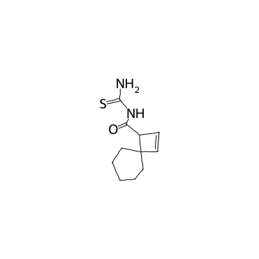 NC(=S)NC(=O)C1C=CC12CCCCC2